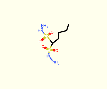 CCCCC(S(=O)(=O)NN)S(=O)(=O)NN